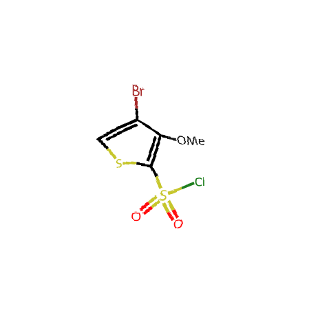 COc1c(Br)csc1S(=O)(=O)Cl